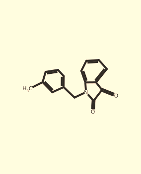 Cc1cccc(CN2C(=O)C(=O)c3ccccc32)c1